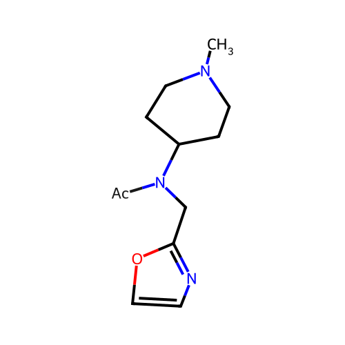 CC(=O)N(Cc1ncco1)C1CCN(C)CC1